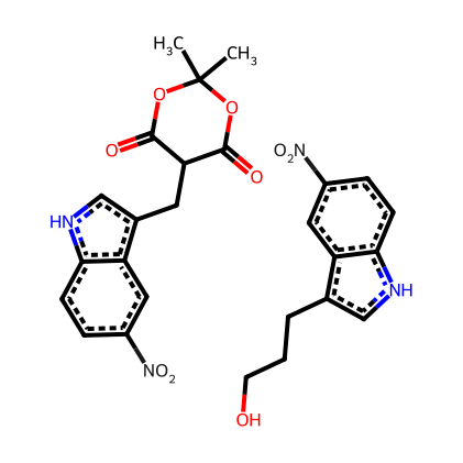 CC1(C)OC(=O)C(Cc2c[nH]c3ccc([N+](=O)[O-])cc23)C(=O)O1.O=[N+]([O-])c1ccc2[nH]cc(CCCO)c2c1